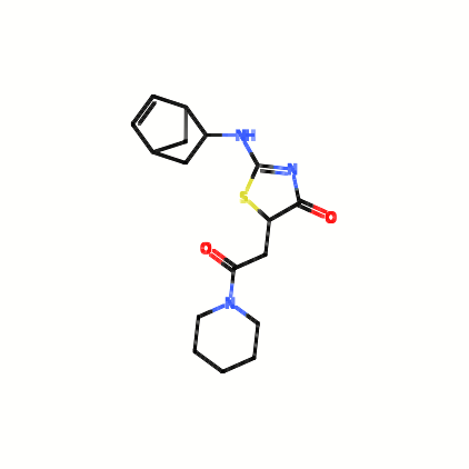 O=C1N=C(NC2CC3C=CC2C3)SC1CC(=O)N1CCCCC1